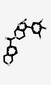 Cn1nc2c(c1-c1cc(F)c(F)c(F)c1)CCN(C(=O)c1ccc3c(c1)CCOC3)C2